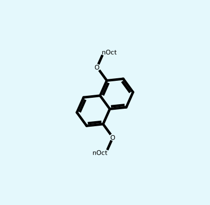 CCCCCCCCOc1cccc2c(OCCCCCCCC)cccc12